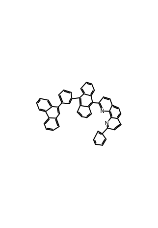 c1ccc(-c2ccc3ccc4ccc(-c5c6ccccc6c(-c6cccc(-c7cc8ccccc8c8ccccc78)c6)c6ccccc56)nc4c3n2)cc1